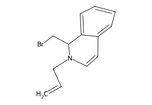 C=CCN1C=Cc2ccccc2C1CBr